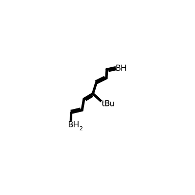 B=C/C=C/C(=C/C=C/B)C(C)(C)C